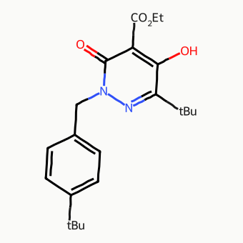 CCOC(=O)c1c(O)c(C(C)(C)C)nn(Cc2ccc(C(C)(C)C)cc2)c1=O